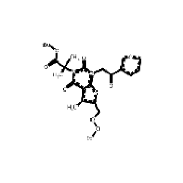 CCOOCc1sc2c(c1C)c(=O)n(C(C)(C)C(=O)OC(C)(C)C)c(=O)n2CC(=O)c1ccccc1